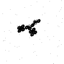 C1=CC(c2ccc3c(c2)C2(c4ccccc4-c4ccccc42)c2ccccc2-3)Cc2c1oc1c(-c3ccc(-c4nnc(-c5ccccc5)o4)cc3)cc(-c3ccc4c(c3)C3(c5ccccc5-c5ccccc53)c3ccccc3-4)cc21